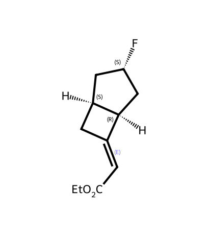 CCOC(=O)/C=C1\C[C@H]2C[C@H](F)C[C@@H]12